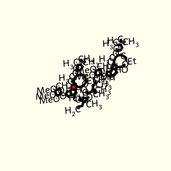 C=CCC1=C(C)C(OC(=O)C2C(C=C(C)C)C2(C)C)CC1=O.CC[C@H]1CCC[C@H](O[C@H]2CC[C@H](N(C)C)[C@@H](C)O2)[C@@H](C)C(=O)C2=C[C@@H]3[C@@H](C=C(C)[C@@H]4C[C@@H](O[C@@H]5O[C@@H](C)[C@H](OC)[C@@H](OC)[C@H]5OC)C[C@@H]34)[C@@H]2CC(=O)O1.CC[C@H]1CCC[C@H](O[C@H]2CC[C@H](N(C)C)[C@@H](C)O2)[C@@H](C)C(=O)C2=C[C@@H]3[C@@H](C=C[C@@H]4C[C@@H](O[C@@H]5O[C@@H](C)[C@H](OC)[C@@H](OC)[C@H]5OC)C[C@@H]34)[C@@H]2CC(=O)O1